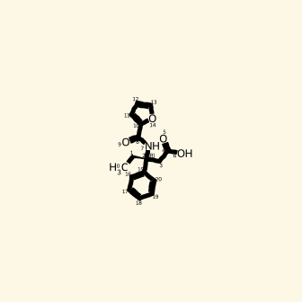 CC[C@](CC(=O)O)(NC(=O)c1ccco1)c1ccccc1